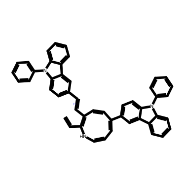 C=Cc1[nH]cccc(-c2ccc3c(c2)c2ccccc2n3-c2ccccc2)ccc1/C=C/c1ccc2c(c1)c1ccccc1n2-c1ccccc1